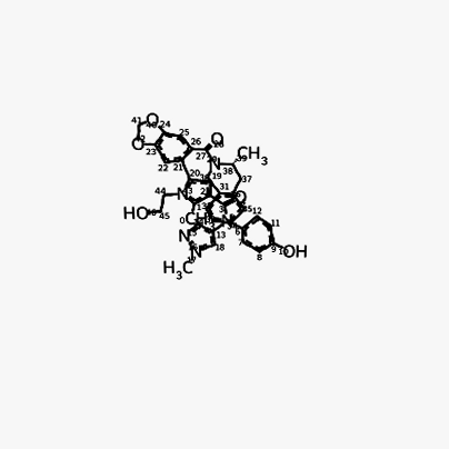 Cc1c(C(=O)N(c2ccc(O)cc2)c2cnn(C)c2)cc(-c2cc3c(cc2C(=O)N2Cc4ccccc4C[C@H]2C)OCO3)n1CCO